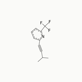 CC(C)C#Cc1cccc(C(F)(F)F)n1